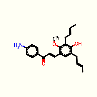 C/C=C/Cc1cc(/C=C/C(=O)c2ccc(N)cc2)c(OCCC)c(C/C=C/C)c1O